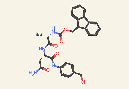 CC[C@H](C)[C@H](NC(=O)OCC1c2ccccc2-c2ccccc21)C(=O)N[C@@H](CC(N)=O)C(=O)Nc1ccc(CO)cc1